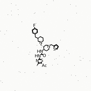 CC(=O)c1sc(NC(=O)N[C@@H]2CCN(Cc3cccs3)C[C@H]2CN2CCCC(Cc3ccc(F)cc3)C2)nc1C